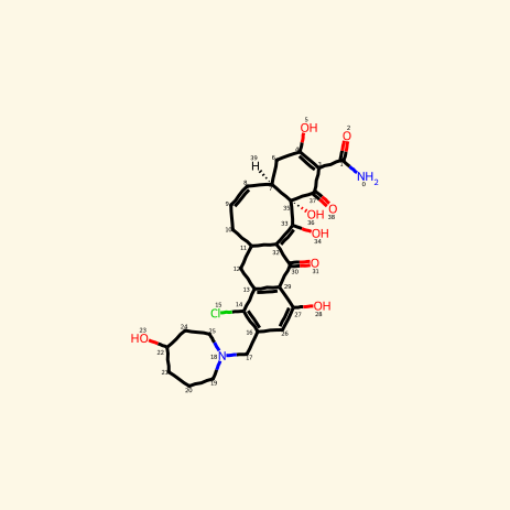 NC(=O)C1=C(O)C[C@@H]2C=CCC3Cc4c(Cl)c(CN5CCCC(O)CC5)cc(O)c4C(=O)/C3=C(\O)[C@]2(O)C1=O